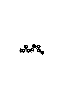 c1ccc(N(c2ccc3ccccc3c2)c2ccc3sc4ccc(-c5cccc6c5sc5c(-c7ccc8oc9ccccc9c8c7)cccc56)cc4c3c2)cc1